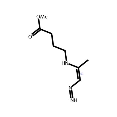 COC(=O)CCCN/C(C)=C\N=N